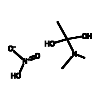 CN(C)C(C)(O)O.O=[N+]([O-])O